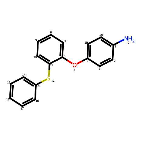 Nc1ccc(Oc2ccccc2Sc2ccccc2)cc1